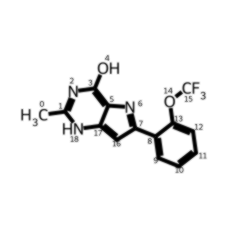 Cc1nc(O)c2nc(-c3ccccc3OC(F)(F)F)cc-2[nH]1